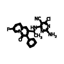 C[C@H](Nc1nc(N)nc(Cl)c1C#N)c1cc2ccc(F)cn2c(=O)c1-c1ccccc1